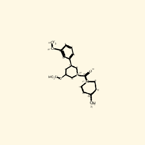 O=C(O)OC1CC(c2cccc(OC(F)(F)F)c2)CN(C(=O)N2CCC(O)CC2)C1